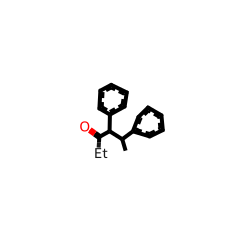 CCC(=O)C(c1ccccc1)C(C)c1ccccc1